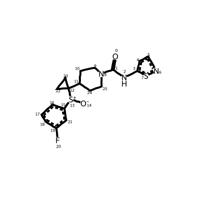 O=C(Nc1ccns1)N1CCC(C2([S+]([O-])c3cccc(F)c3)CC2)CC1